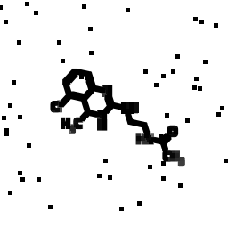 CC(=O)NCCNC1=Nc2cccc(Cl)c2C(C)N1